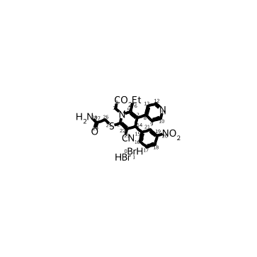 Br.Br.CCOC(=O)CN1C(C)=C(c2ccncc2)C(c2cccc([N+](=O)[O-])c2)C(C#N)=C1SCC(N)=O